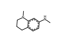 CNc1ccc2c(c1)N(C)CCC2